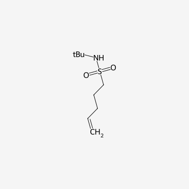 C=CCCCS(=O)(=O)NC(C)(C)C